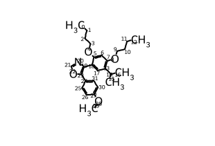 CCCCOc1cc(OCCCC)c(C(C)C)cc1-c1ncoc1-c1ccc(OC)cc1